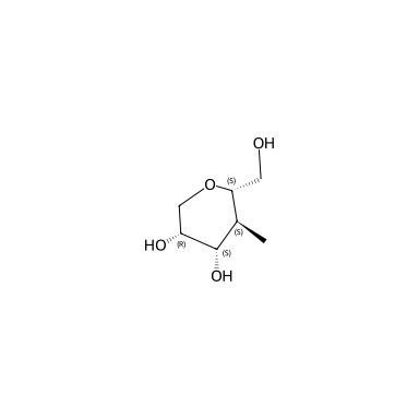 C[C@H]1[C@H](O)[C@H](O)CO[C@@H]1CO